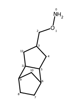 NOCC1CC2C3CCC(C3)C2C1